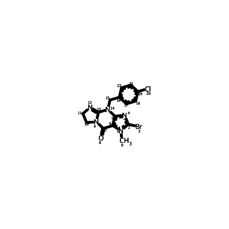 Cn1c(Br)nc2c1C(=O)N1CCN=C1N2Cc1ccc(Cl)cc1